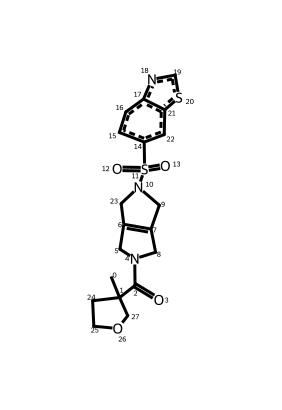 CC1(C(=O)N2CC3=C(C2)CN(S(=O)(=O)c2ccc4ncsc4c2)C3)CCOC1